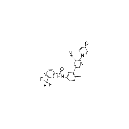 Cc1ccc(NC(=O)c2ccnc(C(F)(F)F)c2)cc1-c1cnc(-n2ccc(=O)cc2)c(C#N)c1